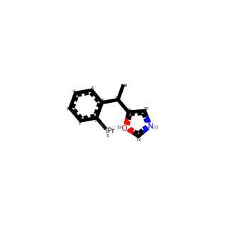 CC(C)c1ccccc1C(C)c1cnco1